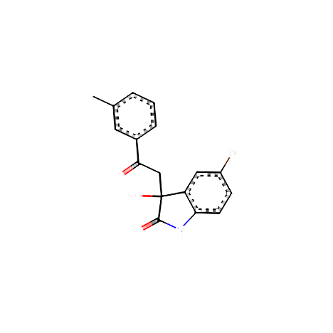 Cc1cccc(C(=O)CC2(O)C(=O)Nc3ccc(Br)cc32)c1